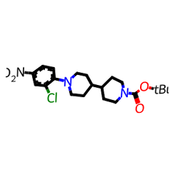 CC(C)(C)OC(=O)N1CCC(C2CCN(c3ccc([N+](=O)[O-])cc3Cl)CC2)CC1